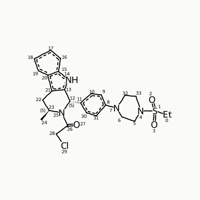 CCS(=O)(=O)N1CCN(c2ccc([C@H]3c4[nH]c5ccccc5c4C[C@H](C)N3C(=O)CCl)cc2)CC1